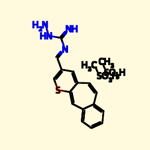 CS(=O)(=O)O.CS(=O)(=O)O.N=C(N=CC1=CSC2=Cc3ccccc3C=CC2=C1)NN